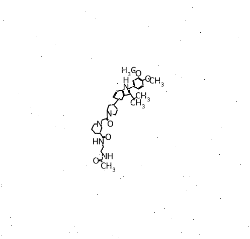 COc1ccc(-c2[nH]c3ccc(C4CCN(C(=O)CN5CCCC(C(=O)NCCNC(C)=O)C5)CC4)cc3c2C(C)C)cc1OC